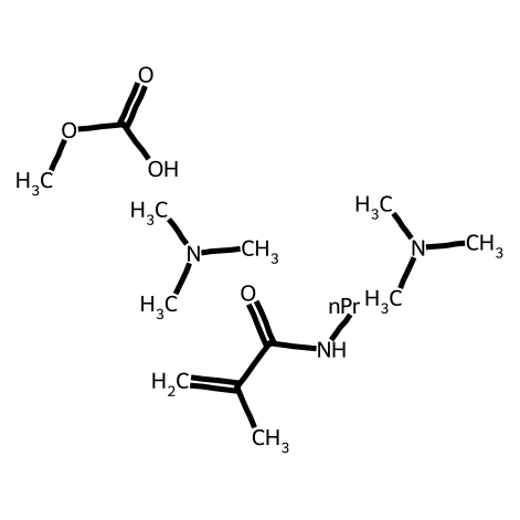 C=C(C)C(=O)NCCC.CN(C)C.CN(C)C.COC(=O)O